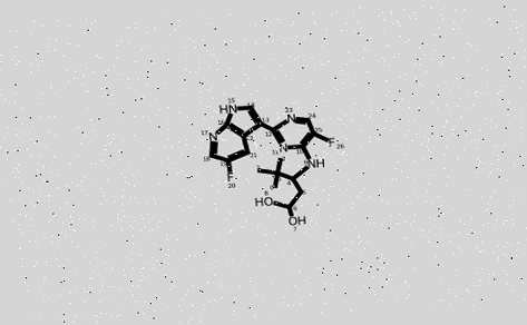 CC(C)(C)C(CC(O)O)Nc1nc(-c2c[nH]c3ncc(F)cc23)ncc1F